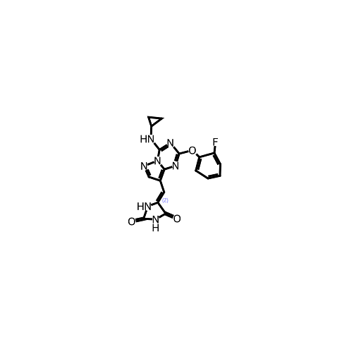 O=C1NC(=O)/C(=C/c2cnn3c(NC4CC4)nc(Oc4ccccc4F)nc23)N1